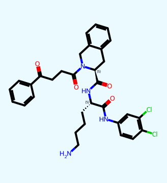 NCCCC[C@H](NC(=O)[C@@H]1Cc2ccccc2CN1C(=O)CCC(=O)c1ccccc1)C(=O)Nc1ccc(Cl)c(Cl)c1